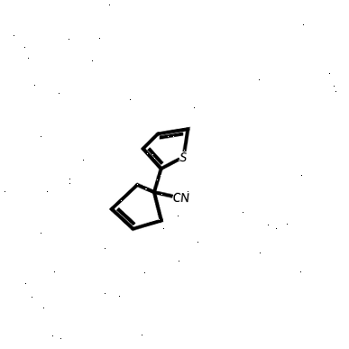 N#CC1(c2cccs2)CC=CC1